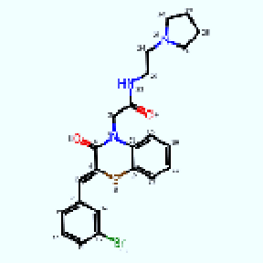 O=C(CN1C(=O)/C(=C/c2cccc(Br)c2)Sc2ccccc21)NCCN1CCCC1